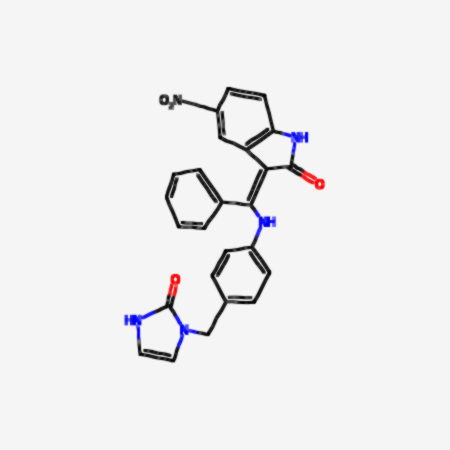 O=C1Nc2ccc([N+](=O)[O-])cc2/C1=C(/Nc1ccc(Cn2cc[nH]c2=O)cc1)c1ccccc1